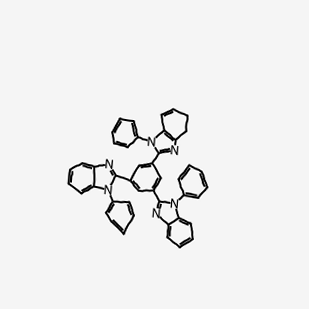 C1=Cc2c(nc(-c3cc(-c4nc5ccccc5n4-c4ccccc4)cc(-c4nc5ccccc5n4-c4ccccc4)c3)n2-c2ccccc2)CC1